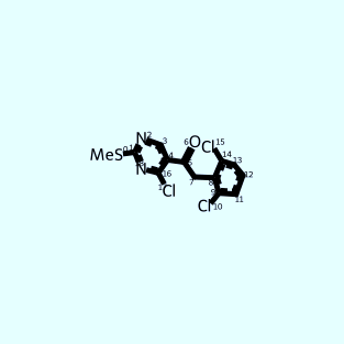 CSc1ncc(C(=O)Cc2c(Cl)cccc2Cl)c(Cl)n1